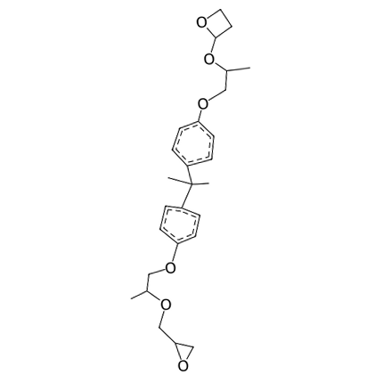 CC(COc1ccc(C(C)(C)c2ccc(OCC(C)OC3CCO3)cc2)cc1)OCC1CO1